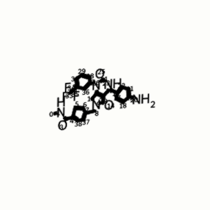 CNC(=O)c1ccc(CN2CC3=C(C2=O)C(c2ccc(N)cc2)NC(=O)N3c2cccc(C(F)(F)F)c2)cc1